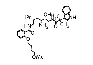 COCCCCOc1ccccc1C(=O)NC[C@@H](C[C@H](N)[C@@H](O)CNC(=O)C(C)(C)c1c[nH]c2ccccc12)C(C)C